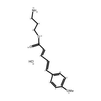 COc1ccc(/C=C/C=C/C(=O)OCCCN)cc1.Cl